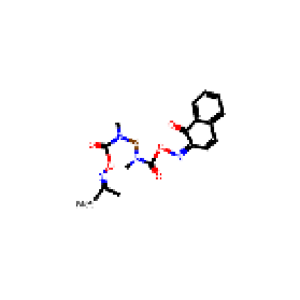 CSC(C)=NOC(=O)N(C)SN(C)C(=O)ON=C1C=Cc2ccccc2C1=O